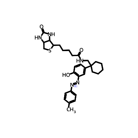 Cc1ccc(/N=N/c2cc(C3(CNC(=O)CCCCC4SCC5NC(=O)NC54)CCCCC3)ccc2O)cc1